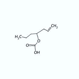 C=CCC(CCC)OC(=O)O